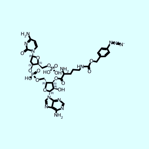 [N-]=[N+]=Nc1ccc(COC(=O)NCCCC(N)C(=O)O[C@H]2[C@@H](O)[C@H](n3cnc4c(N)ncnc43)O[C@@H]2COP(=O)(O)O[C@H]2C[C@H](n3ccc(N)nc3=O)O[C@H]2COP(=O)(O)O)cc1